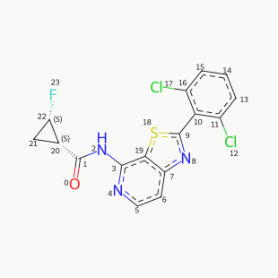 O=C(Nc1nccc2nc(-c3c(Cl)cccc3Cl)sc12)[C@@H]1C[C@@H]1F